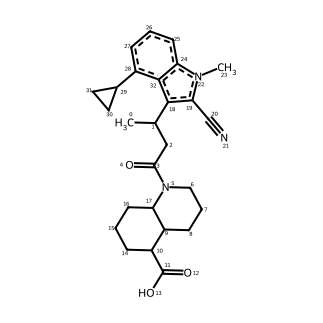 CC(CC(=O)N1CCCC2C(C(=O)O)CCCC21)c1c(C#N)n(C)c2cccc(C3CC3)c12